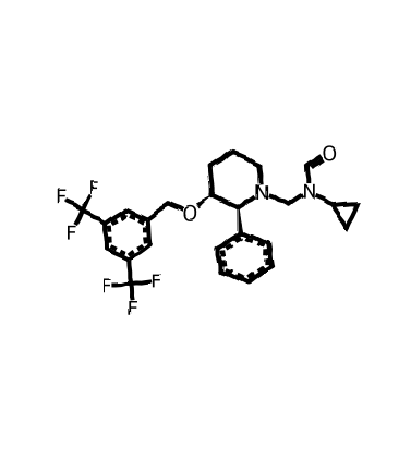 O=CN(CN1CCC[C@H](OCc2cc(C(F)(F)F)cc(C(F)(F)F)c2)[C@@H]1c1ccccc1)C1CC1